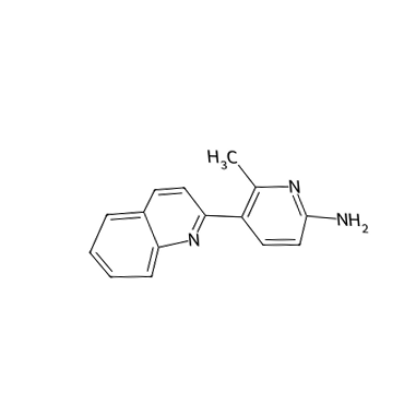 Cc1nc(N)ccc1-c1ccc2ccccc2n1